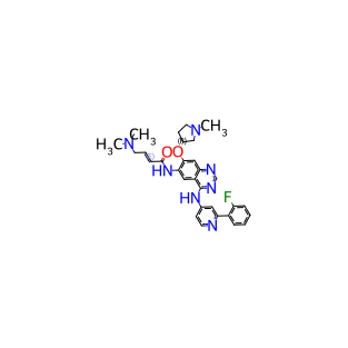 CN(C)C/C=C/C(=O)Nc1cc2c(Nc3ccnc(-c4ccccc4F)c3)ncnc2cc1O[C@@H]1CCN(C)C1